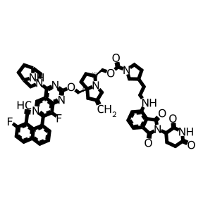 C#Cc1c(F)ccc2cccc(-c3ncc4c(N5CC6CCC(C5)N6)nc(OC[C@@]56CC[C@@H](COC(=O)N7CCC(CCNc8cccc9c8C(=O)N(C8CCC(=O)NC8=O)C9=O)C7)N5CC(=C)C6)nc4c3F)c12